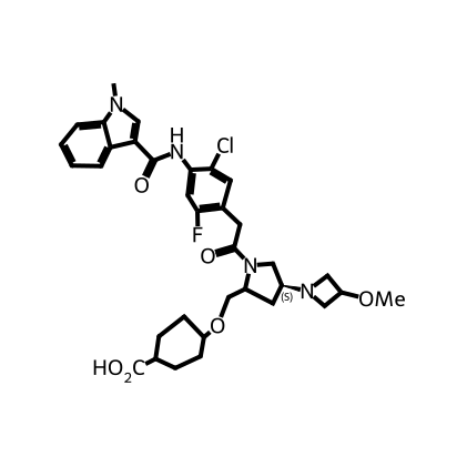 COC1CN([C@H]2CC(COC3CCC(C(=O)O)CC3)N(C(=O)Cc3cc(Cl)c(NC(=O)c4cn(C)c5ccccc45)cc3F)C2)C1